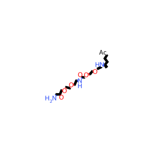 C=C(CCCC(C)=O)NCCOCCOCC(=O)NCCOCCOCC(=O)CN